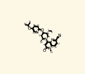 CC[C@@H]1CN(c2cc(=O)n(C)c3ccc(C#N)nc23)[C@@H](C)C[C@H]1Oc1ccc(OC(C)C)cn1